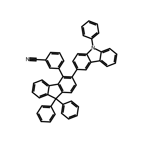 N#Cc1cccc(-c2c(-c3ccc4c(c3)c3ccccc3n4-c3ccccc3)ccc3c2-c2ccccc2C3(c2ccccc2)c2ccccc2)c1